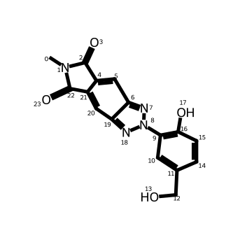 CN1C(=O)c2cc3nn(-c4cc(CO)ccc4O)nc3cc2C1=O